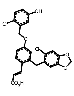 O=C(O)C=Cc1ccc(OCc2cc(O)ccc2Cl)cc1Cc1cc2c(cc1Cl)OCO2